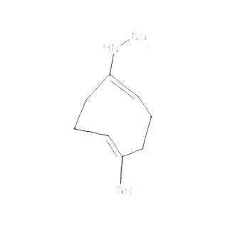 NN/C1=C/CC/C(N)=C/CC1